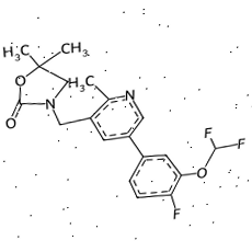 Cc1ncc(-c2ccc(F)c(OC(F)F)c2)cc1CN1CC(C)(C)OC1=O